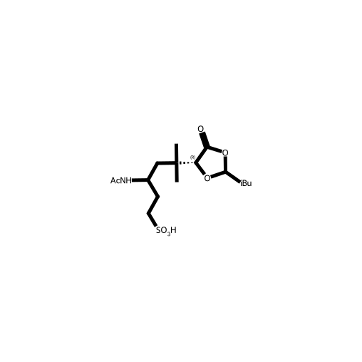 CCC(C)C1OC(=O)[C@@H](C(C)(C)CC(CCS(=O)(=O)O)NC(C)=O)O1